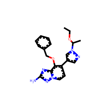 CCOC(C)n1cc(-c2ccn3nc(N)nc3c2OCc2ccccc2)cn1